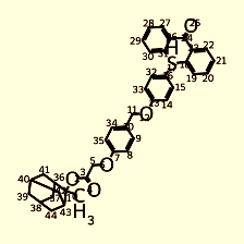 CC1(OC(=O)COc2ccc(COc3ccc([SH]4c5ccccc5C(=O)c5ccccc54)cc3)cc2)C2CC3CC(C2)CC1C3